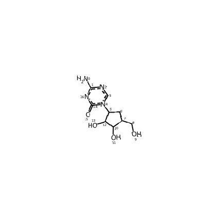 Nc1ncn(C2CC(CO)C(O)C2O)c(=O)n1